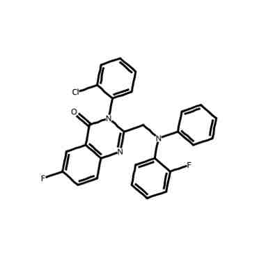 O=c1c2cc(F)ccc2nc(CN(c2ccccc2)c2ccccc2F)n1-c1ccccc1Cl